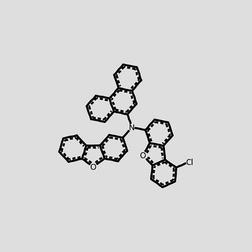 Clc1cccc2oc3c(N(c4ccc5oc6ccccc6c5c4)c4cc5ccccc5c5ccccc45)cccc3c12